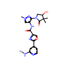 CCNc1cc(-c2nc(C(=O)Nc3cn(C)nc3N3CC(O)C(C)(C)C3=O)co2)ccn1